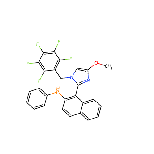 COc1cn(Cc2c(F)c(F)c(F)c(F)c2F)c(-c2c(Pc3ccccc3)ccc3ccccc23)n1